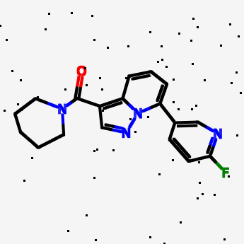 O=C(c1cnn2c(-c3ccc(F)nc3)cccc12)N1CCCCC1